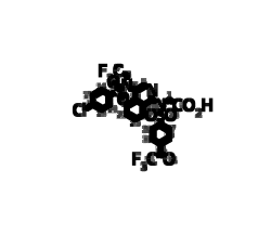 O=C(O)CN(c1ncc(N(CC(F)(F)F)S(=O)(=O)c2ccc(Cl)cc2)c2ccccc12)S(=O)(=O)c1ccc(C(=O)C(F)(F)F)cc1